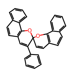 C1=CC2(Oc3c1ccc1ccccc31)Oc1c(ccc3ccccc13)C=C2c1ccccc1